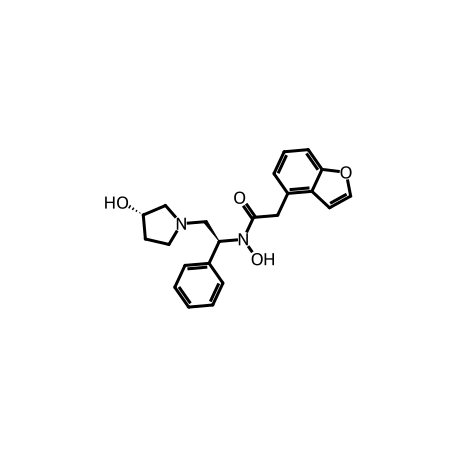 O=C(Cc1cccc2occc12)N(O)[C@H](CN1CC[C@H](O)C1)c1ccccc1